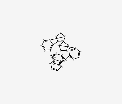 c1cc2c3c(c1)C1CCC3C13C1CCC3c3c(cccc31)-c1c3ccccc3c-2c2ccccc12